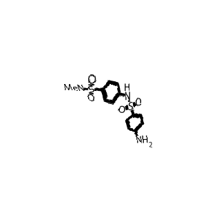 CNS(=O)(=O)c1ccc(NS(=O)(=O)c2ccc(N)cc2)cc1